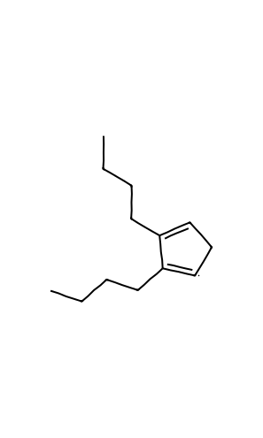 CCCCC1=[C]CC=C1CCCC